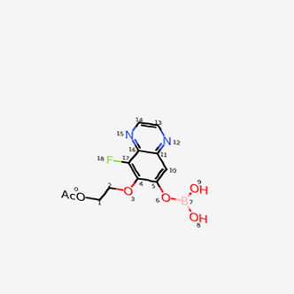 CC(=O)OCCOc1c(OB(O)O)cc2nccnc2c1F